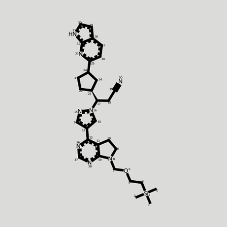 C[Si](C)(C)CCOCN1CCc2c(-c3cnn(C(CC#N)[C@H]4CCC(c5ccc6cc[nH]c6n5)C4)c3)ncnc21